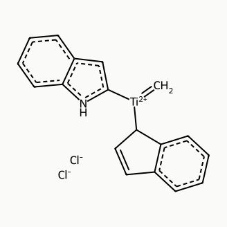 [CH2]=[Ti+2]([c]1cc2ccccc2[nH]1)[CH]1C=Cc2ccccc21.[Cl-].[Cl-]